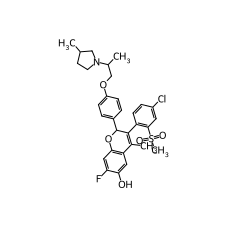 CC1=C(c2ccc(Cl)cc2S(C)(=O)=O)C(c2ccc(OCC(C)N3CCC(C)C3)cc2)Oc2cc(F)c(O)cc21